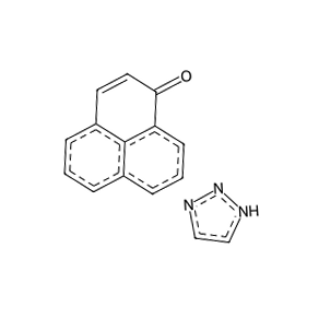 O=C1C=Cc2cccc3cccc1c23.c1c[nH]nn1